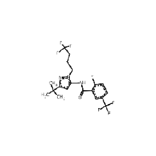 CC(C)(C)c1cc(NC(=O)c2cc(C(F)(F)F)ccc2F)n(CCCC(F)(F)F)n1